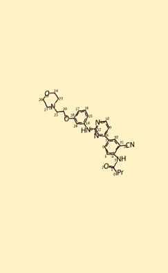 CC(C)C(=O)Nc1ccc(-c2ccnc(Nc3cccc(OCCN4CCOCC4)c3)n2)cc1C#N